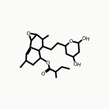 CCC(C)C(=O)OC1CC(C)C=C2C3OC3C(C)C(CCC3CC(O)CC(O)O3)C21